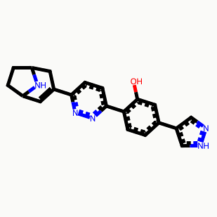 Oc1cc(-c2cn[nH]c2)ccc1-c1ccc(C2=CC3CCC(C2)N3)nn1